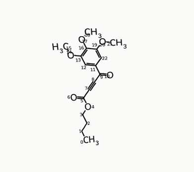 CCCCOC(=O)C#CC(=O)c1cc(OC)c(OC)c(OC)c1